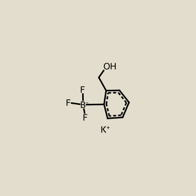 OCc1ccccc1[B-](F)(F)F.[K+]